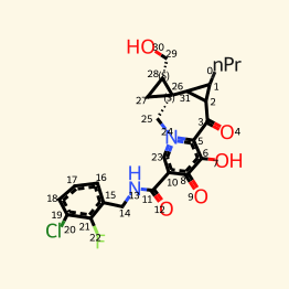 CCCC1C2C(=O)c3c(O)c(=O)c(C(=O)NCc4cccc(Cl)c4F)cn3C[C@@]3(C[C@@H]3CO)C12